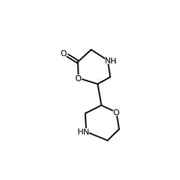 O=C1CNCC(C2CNCCO2)O1